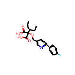 CCC(CC)C(OCc1ccc(-c2ccc(F)cc2)nc1)(C(=O)O)C(=O)O